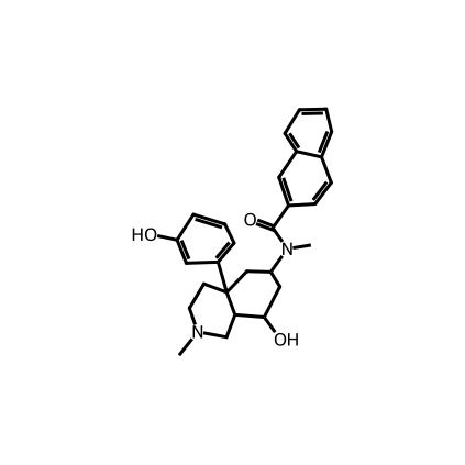 CN1CCC2(c3cccc(O)c3)CC(N(C)C(=O)c3ccc4ccccc4c3)CC(O)C2C1